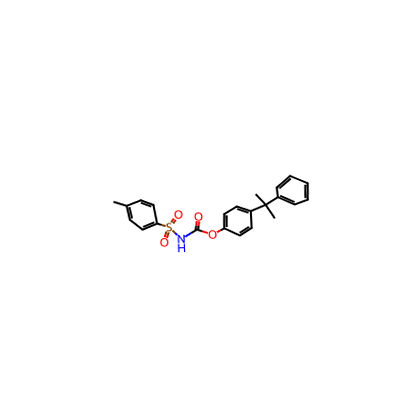 Cc1ccc(S(=O)(=O)NC(=O)Oc2ccc(C(C)(C)c3ccccc3)cc2)cc1